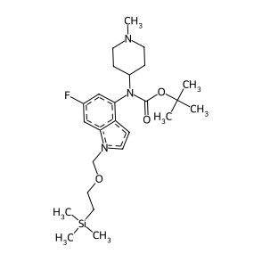 CN1CCC(N(C(=O)OC(C)(C)C)c2cc(F)cc3c2ccn3COCC[Si](C)(C)C)CC1